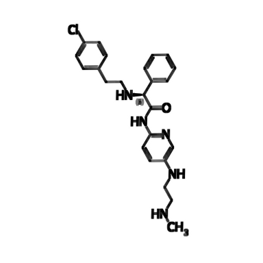 CNCCNc1ccc(NC(=O)[C@@H](NCCc2ccc(Cl)cc2)c2ccccc2)nc1